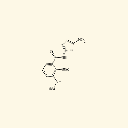 CCCCNc1cccc(C(=O)Nc2ncc([N+](=O)[O-])s2)c1OC(C)=O